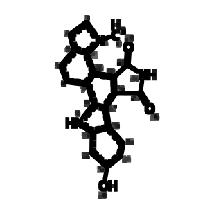 Cn1ccc2ccc3c4[nH]c5cc(O)ccc5c4c4c(c3c21)C(=O)NC4=O